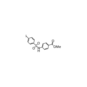 COC(=O)c1ccc(NS(=O)(=O)c2ccc(I)cc2)cc1